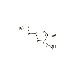 CC(C)CCCCC(CO)C(C)C(C)C